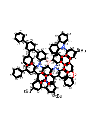 CC(C)(C)c1cc(-c2ccc3c(c2)oc2ccccc23)c(-c2ccc3c(c2)N(c2c(-c4ccccc4)cccc2-c2ccccc2)c2cc(-n4c5ccc(C(C)(C)C)cc5c5cc(C(C)(C)C)ccc54)cc4c2B3c2ccc(-c3ccc(-c5ccccc5)cc3-c3ccccc3)cc2N4c2ccc(-c3ccccc3)cc2-c2ccccc2)c(-n2c3ccccc3c3ccccc32)c1